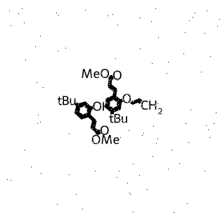 C=CCOc1cc(C(C)(C)C)ccc1C=CC(=O)OC.COC(=O)C=Cc1ccc(C(C)(C)C)cc1O